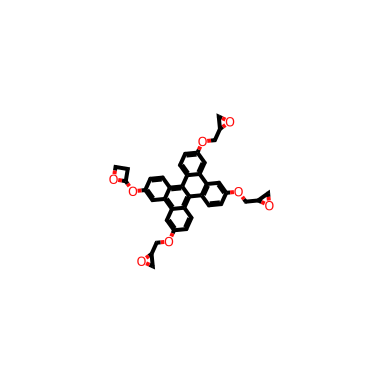 c1cc2c(cc1OCC1CO1)c1cc(OCC3CO3)ccc1c1c3ccc(OC4CCO4)cc3c3cc(OCC4CO4)ccc3c21